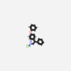 ClNCC(c1ccccc1)c1ccc(Oc2ccccc2)cc1